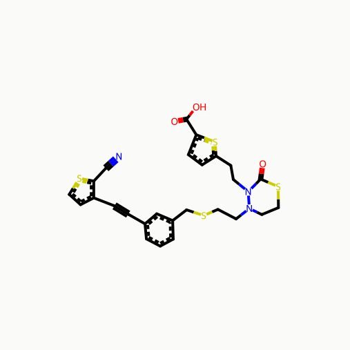 N#Cc1sccc1C#Cc1cccc(CSCCN2CCSC(=O)N2CCc2ccc(C(=O)O)s2)c1